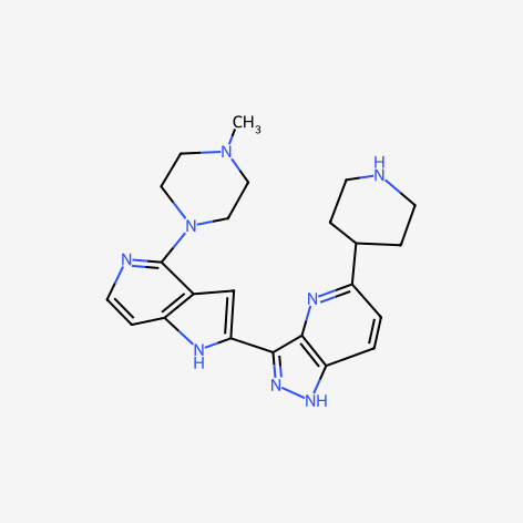 CN1CCN(c2nccc3[nH]c(-c4n[nH]c5ccc(C6CCNCC6)nc45)cc23)CC1